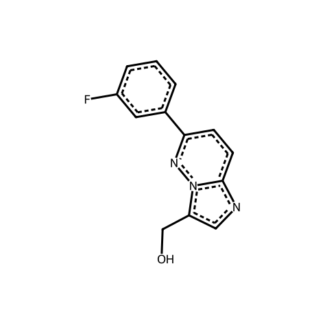 OCc1cnc2ccc(-c3cccc(F)c3)nn12